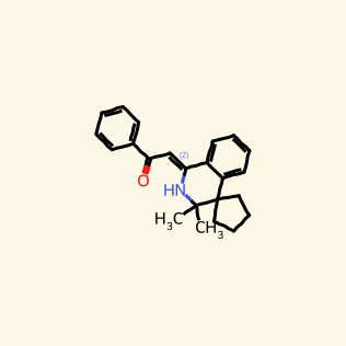 CC1(C)N/C(=C\C(=O)c2ccccc2)c2ccccc2C12CCCC2